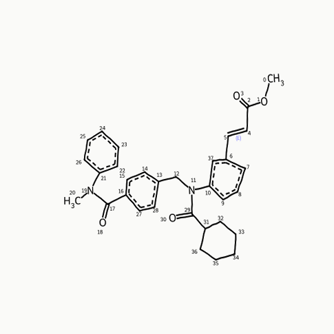 COC(=O)/C=C/c1cccc(N(Cc2ccc(C(=O)N(C)c3ccccc3)cc2)C(=O)C2CCCCC2)c1